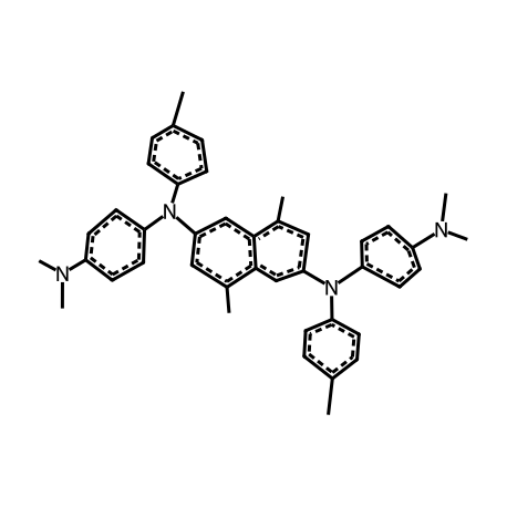 Cc1ccc(N(c2ccc(N(C)C)cc2)c2cc(C)c3cc(N(c4ccc(C)cc4)c4ccc(N(C)C)cc4)cc(C)c3c2)cc1